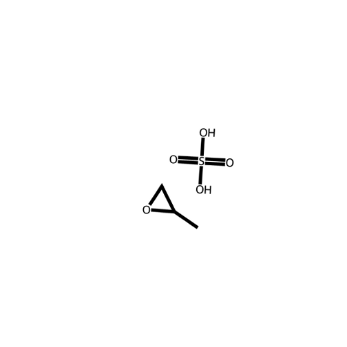 CC1CO1.O=S(=O)(O)O